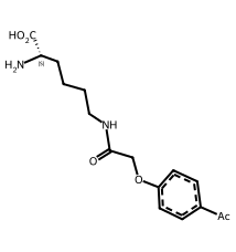 CC(=O)c1ccc(OCC(=O)NCCCC[C@H](N)C(=O)O)cc1